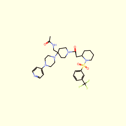 CC(=O)NCC1(N2CCN(c3ccncc3)CC2)CCN(C(=O)CC2CCCCN2S(=O)(=O)c2cccc(C(F)(F)F)c2)CC1